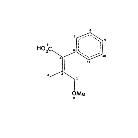 COCC(C)=C(C(=O)O)c1ccccc1